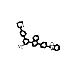 N#Cc1cc(-c2ccc(C3=NC=CCC3)cc2)cc(-c2ccc(-c3ccc(-c4nc5ccccc5o4)cc3)c3ccccc23)c1